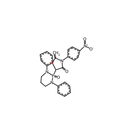 C=C1CC(P2(=O)N(c3ccccc3)CCCN2c2ccccc2)C(=O)N1c1ccc([N+](=O)[O-])cc1